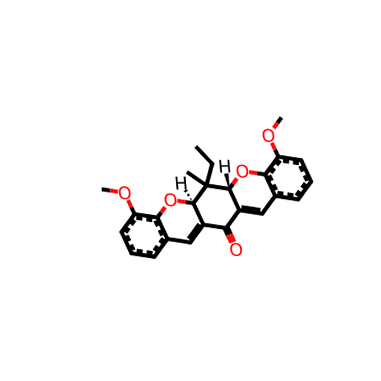 CCC1(C)[C@@H]2Oc3c(cccc3OC)C=C2C(=O)C2=Cc3cccc(OC)c3O[C@H]21